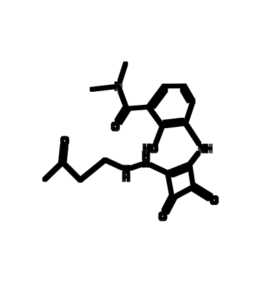 CC(=O)CCNNc1c(Nc2cccc(C(=O)N(C)C)c2O)c(=O)c1=O